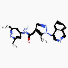 Cc1cc(NC(=O)c2cnn(-c3cncc4ccccc34)c2C(F)(F)F)cc(C)n1